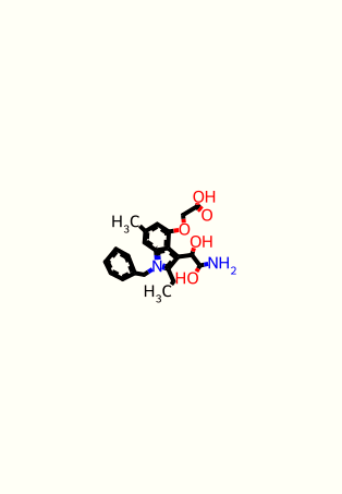 CCc1c(C(O)C(N)O)c2c(OCC(=O)O)cc(C)cc2n1Cc1ccccc1